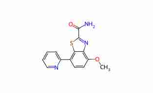 COc1ccc(-c2ccccn2)c2sc(C(N)=O)nc12